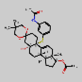 CC(=O)Nc1cccc(S[C@]23CCC4(C[C@]2(O)CC[C@@H]2C3=CC[C@]3(C)[C@@H](OC(C)=O)CC[C@@H]23)OCC(C)(C)CO4)c1